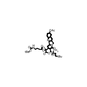 CCC1(OC(=O)CCCNC(=O)OC(C)(C)C)C(=O)OC([Si](C)(C)CCC(C)(C)C)c2c1cc1n(c2=O)Cc2cc3cc(OC(C)=O)ccc3nc2-1